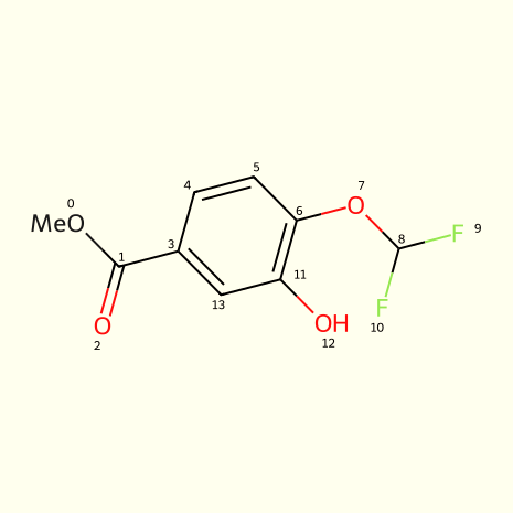 COC(=O)c1ccc(OC(F)F)c(O)c1